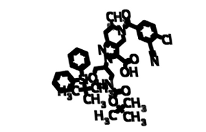 C[C@@H]1Cc2nn(C(CNC(=O)OC(C)(C)C)CO[Si](c3ccccc3)(c3ccccc3)C(C)(C)C)c(C(=O)O)c2CN1C(=O)c1ccc(Cl)c(C#N)c1